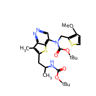 COc1ccsc1CN(C(=O)OC(C)(C)C)c1cnnc2c(C)c(CC(C)NC(=O)OC(C)(C)C)sc12